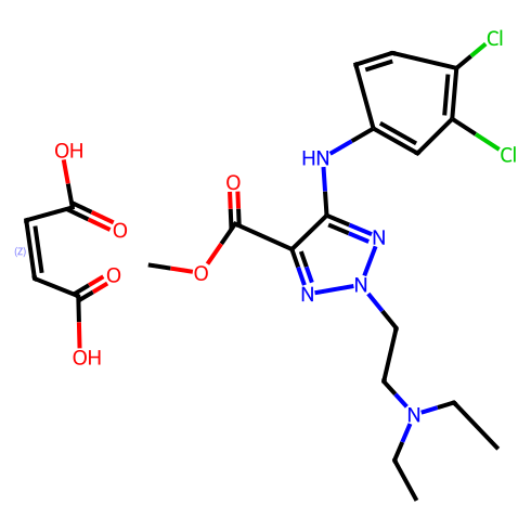 CCN(CC)CCn1nc(Nc2ccc(Cl)c(Cl)c2)c(C(=O)OC)n1.O=C(O)/C=C\C(=O)O